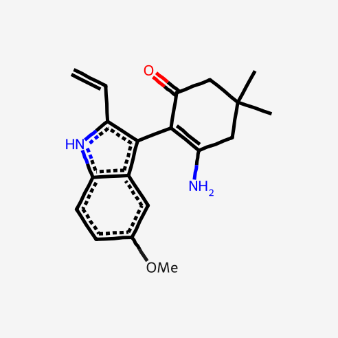 C=Cc1[nH]c2ccc(OC)cc2c1C1=C(N)CC(C)(C)CC1=O